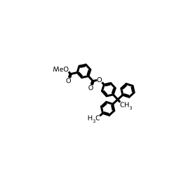 COC(=O)c1cccc(C(=O)Oc2ccc(C(C)(c3ccccc3)c3ccc(C)cc3)cc2)c1